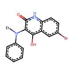 CCN(c1ccccc1)c1c(O)c2cc(Br)ccc2[nH]c1=O